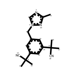 Cc1ncn(Cc2cc(C(C)(C)C#N)cc(C(C)(C)C#N)c2)n1